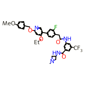 CCOc1cc(OCc2ccc(OC)cc2)ncc1-c1ccc(CC(=O)Nc2cc(C(=O)NC3CN(C)C3)cc(C(F)(F)F)c2)c(F)c1